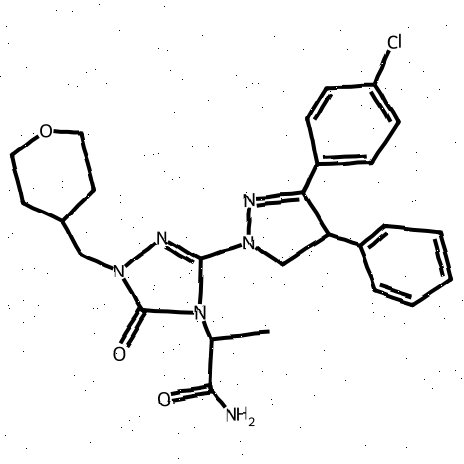 CC(C(N)=O)n1c(N2CC(c3ccccc3)C(c3ccc(Cl)cc3)=N2)nn(CC2CCOCC2)c1=O